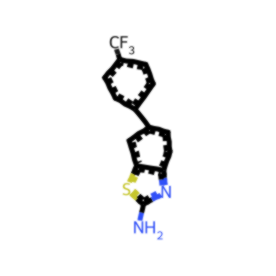 Nc1nc2ccc(-c3ccc(C(F)(F)F)cc3)cc2s1